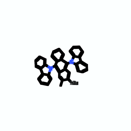 CCCCc1cc2c(-n3c4ccccc4c4ccccc43)c3ccccc3c(-n3c4ccccc4c4ccccc43)c2cc1C